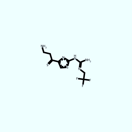 NCCC(=S)c1csc(NC(N)=NCC(F)(F)F)n1